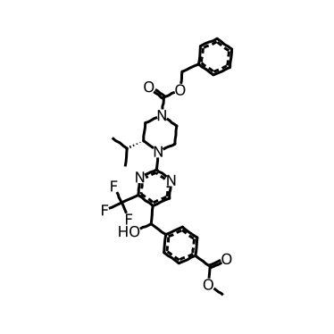 COC(=O)c1ccc(C(O)c2cnc(N3CCN(C(=O)OCc4ccccc4)C[C@H]3C(C)C)nc2C(F)(F)F)cc1